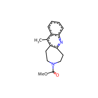 COC(=O)N1CCc2nc3ccccc3c(C)c2CC1